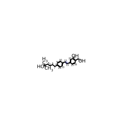 CC(C)(O)CCCCc1ccc(/C=C/c2ccc(CO)c(O)c2)cc1